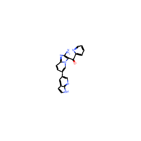 Nc1nc2ccc(-c3cnc4[nH]ccc4c3)cn2c1C(=O)c1ccccn1